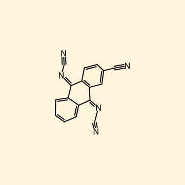 N#C/N=C1/c2ccccc2/C(=N\C#N)c2cc(C#N)ccc21